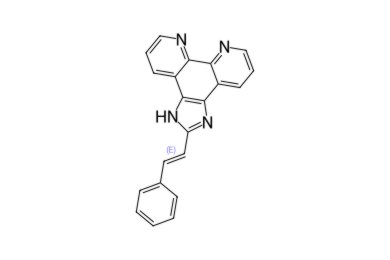 C(=C\c1nc2c3cccnc3c3ncccc3c2[nH]1)/c1ccccc1